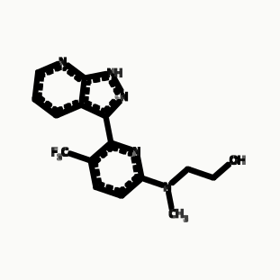 CN(CCO)c1ccc(C(F)(F)F)c(-c2n[nH]c3ncccc23)n1